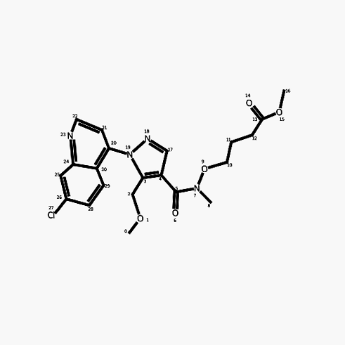 COCc1c(C(=O)N(C)OCCCC(=O)OC)cnn1-c1ccnc2cc(Cl)ccc12